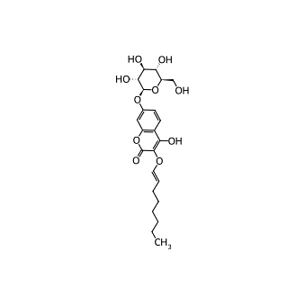 CCCCCCC=COc1c(O)c2ccc(O[C@@H]3O[C@H](CO)[C@@H](O)[C@H](O)[C@H]3O)cc2oc1=O